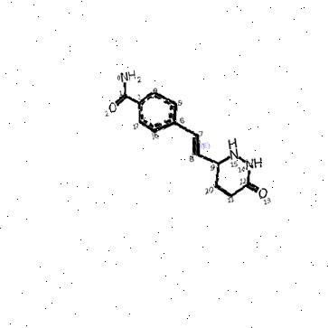 NC(=O)c1ccc(/C=C/C2CCC(=O)NN2)cc1